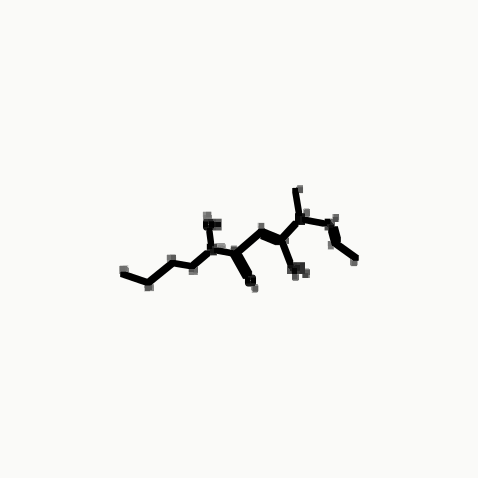 C/C=N/N(C)/C(N)=C/C(=O)N(O)CCCC